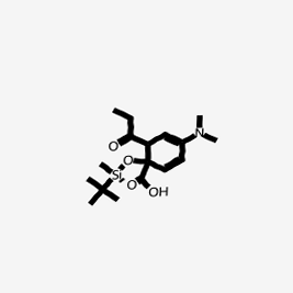 CCC(=O)C1C=C(N(C)C)C=CC1(O[Si](C)(C)C(C)(C)C)C(=O)O